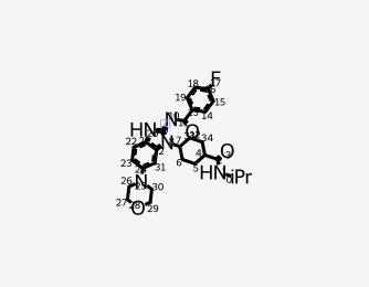 CC(C)NC(=O)C1CCC(n2/c(=N\C(=O)c3ccc(F)cc3)[nH]c3ccc(N4CCOCC4)cc32)CC1